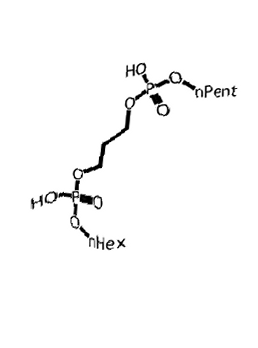 CCCCCCOP(=O)(O)OCCCOP(=O)(O)OCCCCC